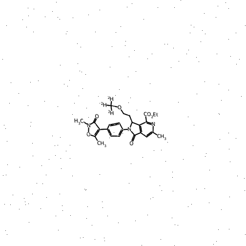 [2H]C([2H])([2H])OCCC1c2c(cc(C)nc2C(=O)OCC)C(=O)N1c1ccc(-c2c(C)on(C)c2=O)cc1